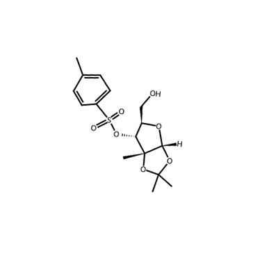 Cc1ccc(S(=O)(=O)O[C@@H]2[C@@H](CO)O[C@@H]3OC(C)(C)O[C@@]32C)cc1